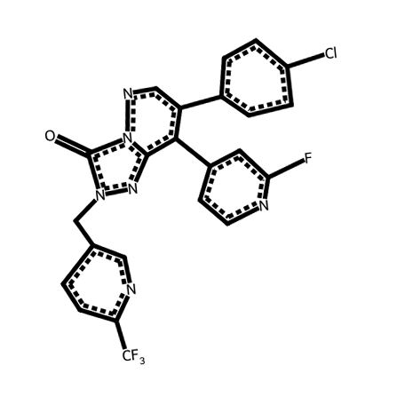 O=c1n(Cc2ccc(C(F)(F)F)nc2)nc2c(-c3ccnc(F)c3)c(-c3ccc(Cl)cc3)cnn12